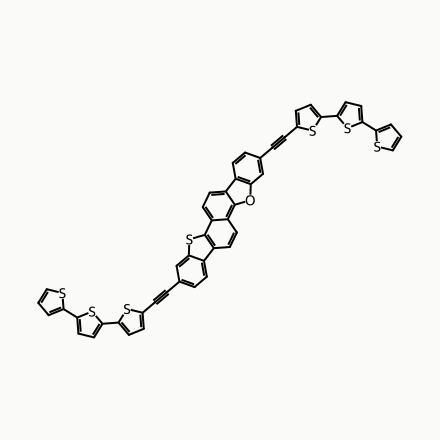 C(#Cc1ccc(-c2ccc(-c3cccs3)s2)s1)c1ccc2c(c1)oc1c2ccc2c1ccc1c3ccc(C#Cc4ccc(-c5ccc(-c6cccs6)s5)s4)cc3sc12